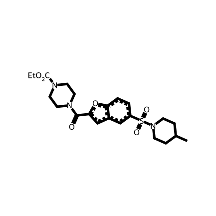 CCOC(=O)N1CCN(C(=O)c2cc3cc(S(=O)(=O)N4CCC(C)CC4)ccc3o2)CC1